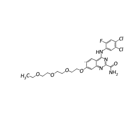 CCOCCOCCOCCOc1[c]cc2c(Nc3cc(Cl)c(Cl)cc3F)nc(C(N)=O)nc2c1